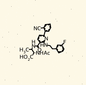 CC(=O)N[C@H](C(=O)O)C(C)NC(=O)c1ccc(-c2ccccc2C#N)nc1NCCc1cccc(F)c1